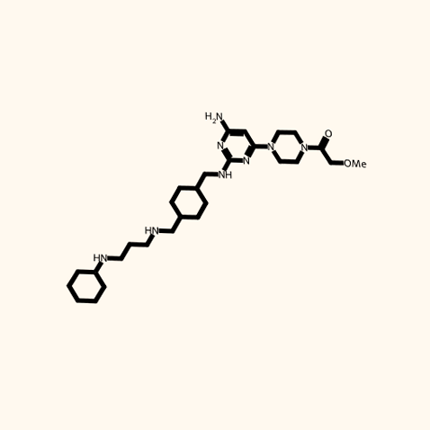 COCC(=O)N1CCN(c2cc(N)nc(NCC3CCC(CNCCCNC4CCCCC4)CC3)n2)CC1